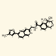 Cc1cc(-c2ccc3cnc(CNC(=O)c4ccc5c(c4)[C@](C)(C#N)COC5)cc3n2)on1